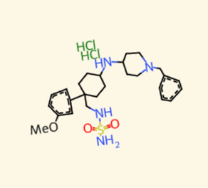 COc1cccc(C2(CNS(N)(=O)=O)CCC(NC3CCN(Cc4ccccc4)CC3)CC2)c1.Cl.Cl